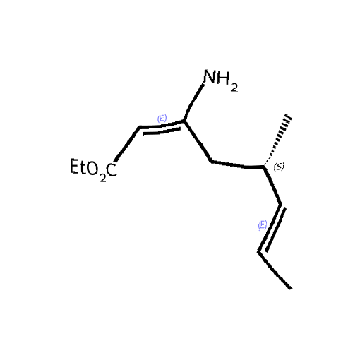 C/C=C/[C@@H](C)C/C(N)=C\C(=O)OCC